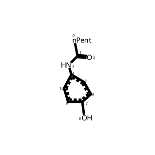 CCCCCC(=O)Nc1ccc(O)cc1